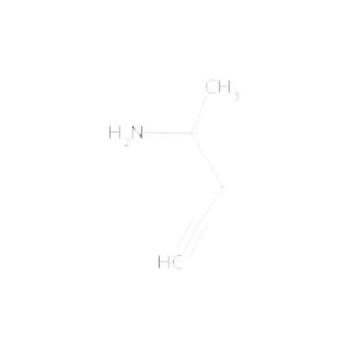 C#CC[C](C)N